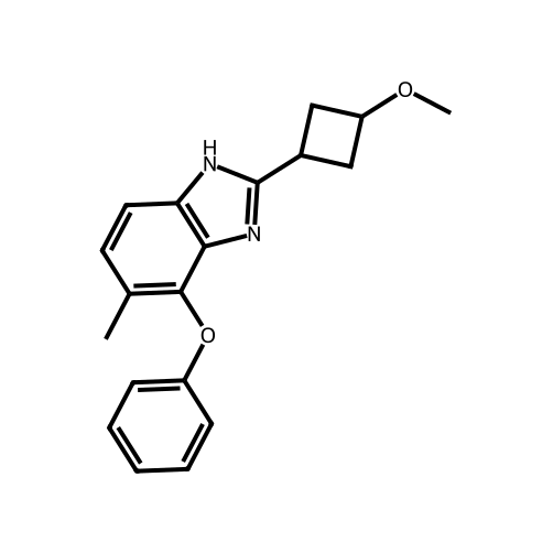 COC1CC(c2nc3c(Oc4ccccc4)c(C)ccc3[nH]2)C1